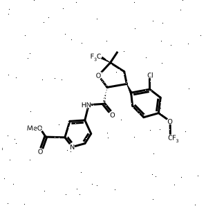 COC(=O)c1cc(NC(=O)[C@@H]2O[C@@](C)(C(F)(F)F)C[C@H]2c2ccc(OC(F)(F)F)cc2Cl)ccn1